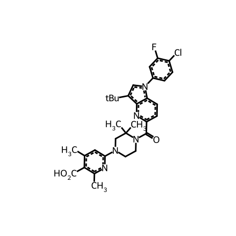 Cc1cc(N2CCN(C(=O)c3ccc4c(n3)c(C(C)(C)C)cn4-c3ccc(Cl)c(F)c3)C(C)(C)C2)nc(C)c1C(=O)O